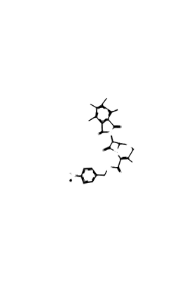 CC1=C(C(=O)OCc2ccc([N+](=O)[O-])cc2)N2C(=O)C(N3C(=O)c4c(C)c(C)c(C)c(C)c4C3=O)[C@H]2SC1